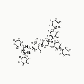 Cc1cc(-c2nc(-c3ccccc3)nc(-c3ccccc3)n2)cc(C)c1-c1ccc(N(c2ccc(-c3ccccc3)cc2)c2ccc(-c3ccccc3)cc2)cc1